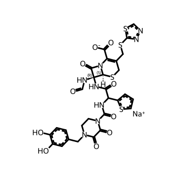 O=CN[C@@]1(NC(=O)C(NC(=O)N2CCN(Cc3ccc(O)c(O)c3)C(=O)C2=O)c2cccs2)C(=O)N2C(C(=O)[O-])=C(CSc3nncs3)CS[C@H]21.[Na+]